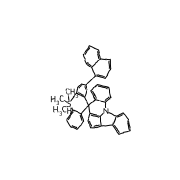 C[SH]1(C)(C)c2ccccc2C2(c3ccccc3-n3c4ccccc4c4cccc2c43)c2cc(-c3cccc4ccccc34)ccc21